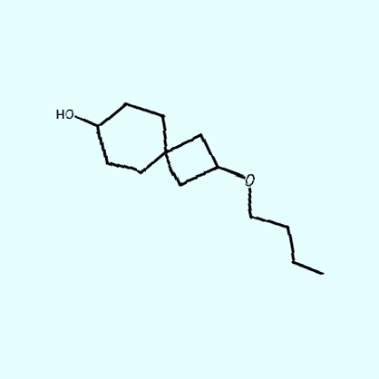 CCCCOC1CC2(CCC(O)CC2)C1